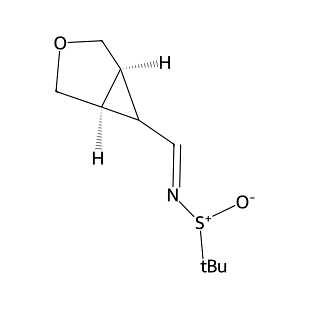 CC(C)(C)[S+]([O-])/N=C/C1[C@H]2COC[C@@H]12